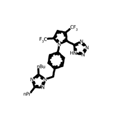 CCCCc1nc(CCC)nn1Cc1ccc(-n2c(C(F)(F)F)cc(C(F)(F)F)c2-c2nnn[nH]2)cc1